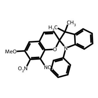 COc1cc2c(c([N+](=O)[O-])c1[N+](=O)[O-])OC1(C=C2)N(c2ccccc2)c2ccccc2C1(C)C